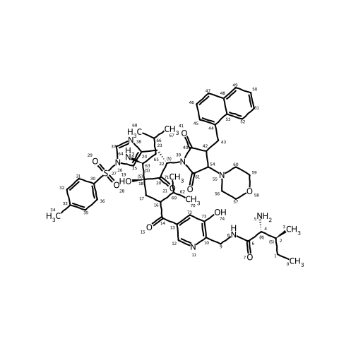 CC[C@H](C)[C@@H](N)C(=O)NCc1ncc(C(=O)C(C[C@@](O)(C(=O)[C@H](Cc2cn(S(=O)(=O)c3ccc(C)cc3)cn2)N2C(=O)C(Cc3cccc4ccccc34)C(N3CCOCC3)C2=O)[C@@H](N)CC(C)C)C(C)C)cc1O